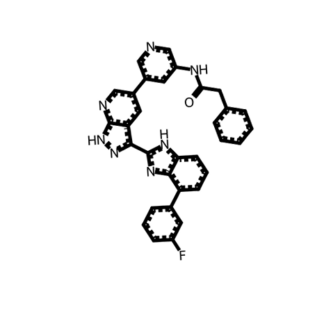 O=C(Cc1ccccc1)Nc1cncc(-c2cnc3[nH]nc(-c4nc5c(-c6cccc(F)c6)cccc5[nH]4)c3c2)c1